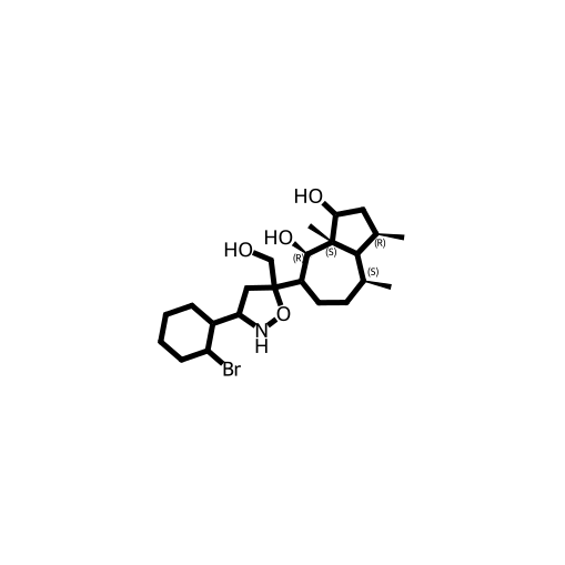 C[C@@H]1CC(O)[C@]2(C)C1[C@@H](C)CCC(C1(CO)CC(C3CCCCC3Br)NO1)[C@H]2O